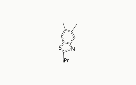 Cc1cc2nc(C(C)C)sc2cc1C